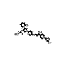 CC(C)c1noc(N2CCC(C(C)CCOc3ccc(N4C[C@H](NC(=O)OC(C)(C)C)[C@@H](N5CCCCC5=O)C4)nn3)CC2)n1